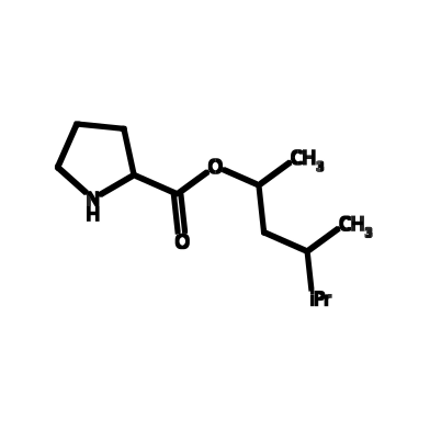 CC(CC(C)C(C)C)OC(=O)C1CCCN1